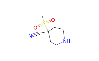 CS(=O)(=O)C1(C#N)CCNCC1